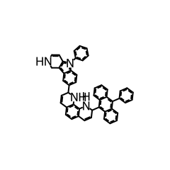 C1=Cc2c(c3cc(C4C=Cc5ccc6c(c5N4)NC(c4c5ccccc5c(-c5ccccc5)c5ccccc45)C=C6)ccc3n2-c2ccccc2)CN1